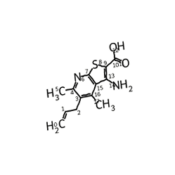 C=CCc1c(C)nc2sc(C(=O)O)c(N)c2c1C